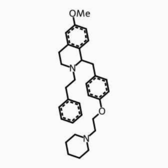 COc1ccc2c(c1)CCN(CCc1ccccc1)C2Cc1ccc(OCCN2CCCCC2)cc1